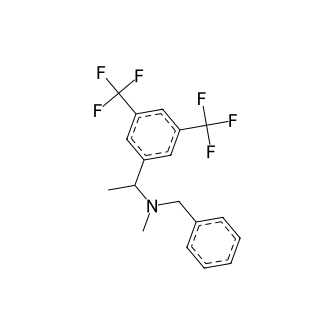 CC(c1cc(C(F)(F)F)cc(C(F)(F)F)c1)N(C)Cc1ccccc1